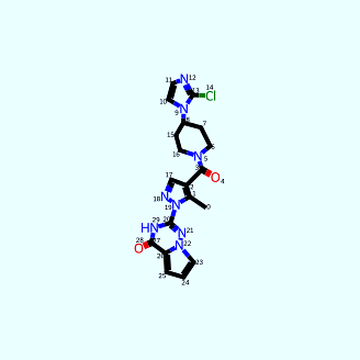 Cc1c(C(=O)N2CCC(n3ccnc3Cl)CC2)cnn1-c1nn2cccc2c(=O)[nH]1